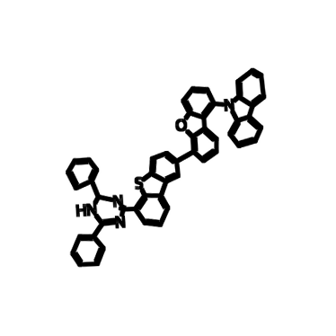 c1ccc(C2=NC(c3cccc4c3sc3ccc(-c5cccc6c5oc5cccc(-n7c8ccccc8c8ccccc87)c56)cc34)=NC(c3ccccc3)N2)cc1